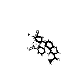 CN(C)[C@H]1CC[C@H](Nc2c(C(=O)C3CC3)cnc3ccc(-c4ccc(O)c(Cl)c4)cc23)CC1